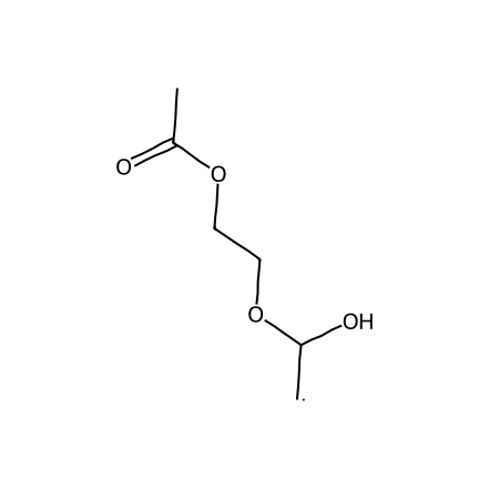 [CH2]C(O)OCCOC(C)=O